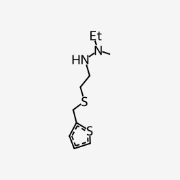 CCN(C)NCCSCc1cccs1